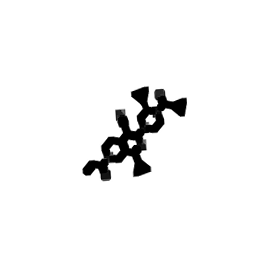 C=CC(=O)N1CCc2c(C#N)c(N3CCN(C(=O)C4CC4)[C@H](C4=CC4)C3)nc(C3CC3)c2C1